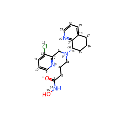 O=C(CCCN(Cc1ncccc1Cl)[C@H]1CCCc2cccnc21)NO